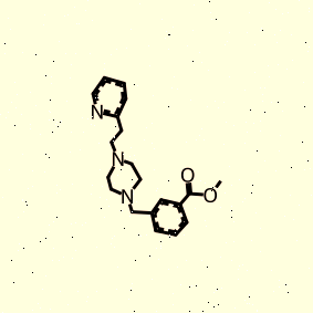 COC(=O)c1cccc(CN2CCN(CCc3ccccn3)CC2)c1